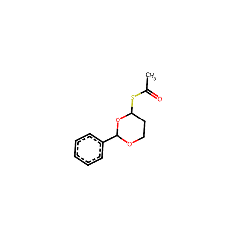 CC(=O)SC1CCOC(c2ccccc2)O1